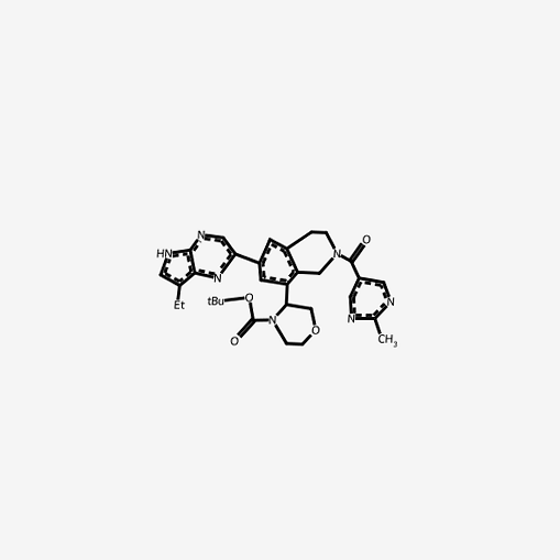 CCc1c[nH]c2ncc(-c3cc4c(c(C5COCCN5C(=O)OC(C)(C)C)c3)CN(C(=O)c3cnc(C)nc3)CC4)nc12